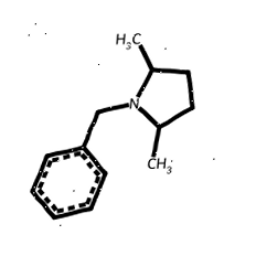 CC1CCC(C)N1Cc1ccccc1